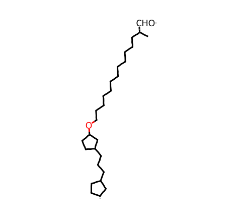 CC([C]=O)CCCCCCCCCCCCOC1CCC(CCCC2C[CH]CC2)C1